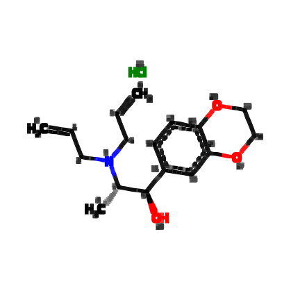 C=CCN(CC=C)[C@@H](C)[C@H](O)c1ccc2c(c1)OCCO2.Cl